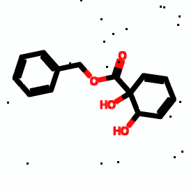 O=C(OCc1ccccc1)C1(O)C=CC=CC1O